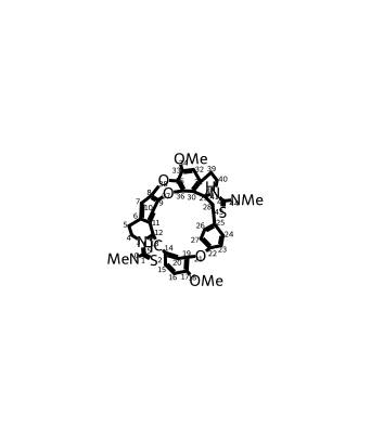 CNC(=S)N1CCc2cc3c4cc2[C@@H]1Cc1ccc(OC)c(c1)Oc1ccc(cc1)C[C@H]1c2c(cc(OC)c(c2O4)O3)CCN1C(=S)NC